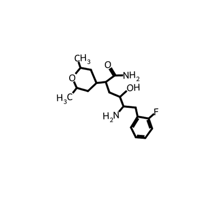 CC1CC(C(CC(O)C(N)Cc2ccccc2F)C(N)=O)CC(C)O1